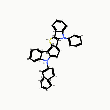 c1ccc(-n2c3ccccc3c3sc4c(ccc5c4c4ccccc4n5-c4ccc5ccccc5c4)c32)cc1